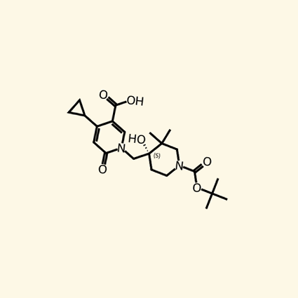 CC(C)(C)OC(=O)N1CC[C@@](O)(Cn2cc(C(=O)O)c(C3CC3)cc2=O)C(C)(C)C1